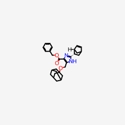 O=C(OCc1ccccc1)c1nc([C@H]2CC3C=C[C@@H]2C3)[nH]c1COC12CC3CC(CC(C3)C1)C2